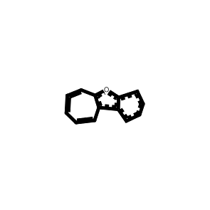 C1=CC=Cc2c(oc3ccccc23)C=1